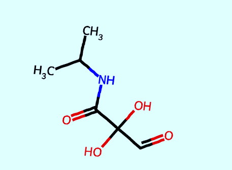 CC(C)NC(=O)C(O)(O)C=O